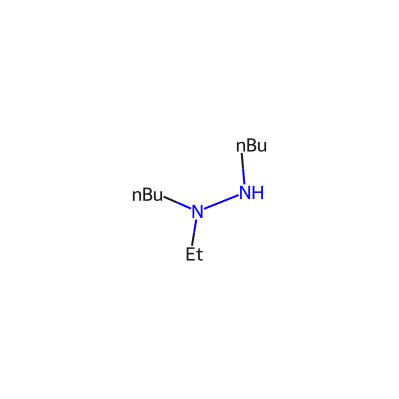 CCCCNN(CC)CCCC